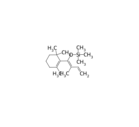 C=C/C(C)=C(\O[Si](C)(C)C)C1=C(C)CCCC1(C)C